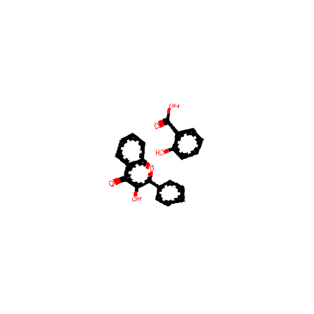 O=C(O)c1ccccc1O.O=c1c(O)c(-c2ccccc2)oc2ccccc12